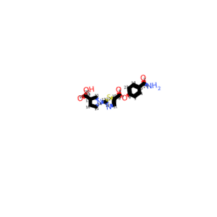 NC(=O)c1ccc(OC(=O)c2cnc(N3CCC(C(=O)O)C3)s2)cc1